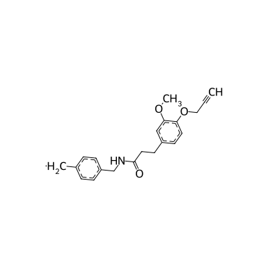 C#CCOc1ccc(CCC(=O)NCc2ccc([CH2])cc2)cc1OC